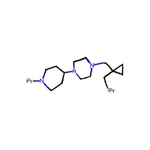 CC(C)CC1(CN2CCN(C3CCN(C(C)C)CC3)CC2)CC1